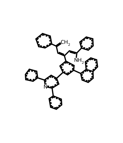 C=C(/C=C(\C=C(/N)c1ccccc1)c1cc(-c2cc(-c3ccccc3)nc(-c3ccccc3)c2)cc(-c2cccc3ccccc23)c1)c1ccccc1